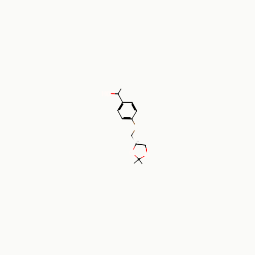 CC(O)c1ccc(SC[C@H]2COC(C)(C)O2)cc1